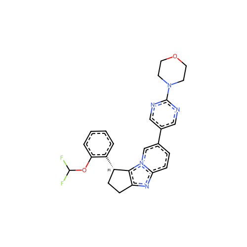 FC(F)Oc1ccccc1[C@H]1CCc2nc3ccc(-c4cnc(N5CCOCC5)nc4)cn3c21